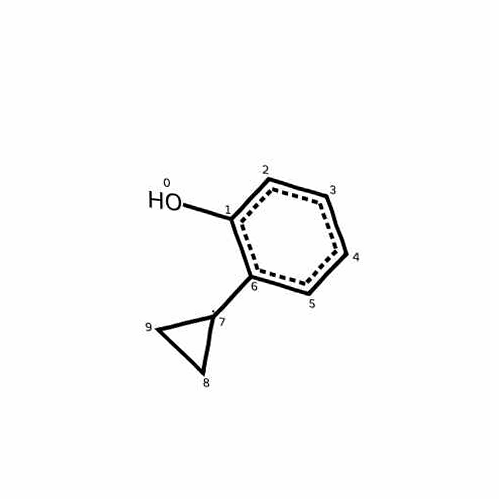 Oc1ccccc1[C]1CC1